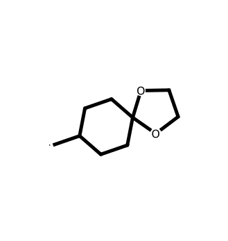 [CH2]C1CCC2(CC1)OCCO2